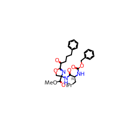 COC(=O)C1(NC(=O)[C@H](CC(C)C)NC(=O)OCc2ccccc2)COC(C(=O)CCCc2ccccc2)=N1